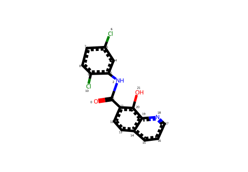 O=C(Nc1cc(Cl)ccc1Cl)c1ccc2cccnc2c1O